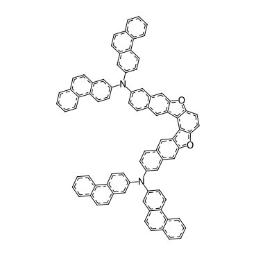 c1ccc2c(c1)ccc1cc(N(c3ccc4cc5c(cc4c3)oc3ccc4oc6cc7cc(N(c8ccc9c(ccc%10ccccc%109)c8)c8ccc9c(ccc%10ccccc%109)c8)ccc7cc6c4c35)c3ccc4c(ccc5ccccc54)c3)ccc12